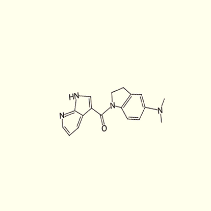 CN(C)c1ccc2c(c1)CCN2C(=O)c1c[nH]c2ncccc12